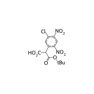 CC(C)(C)OC(=O)C(C(=O)O)c1cc(Cl)c([N+](=O)[O-])cc1[N+](=O)[O-]